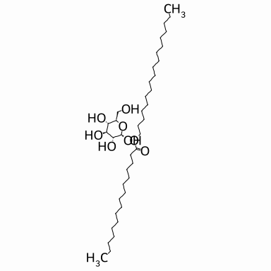 CCCCCCCCCCCCCCCCCCOC(=O)CCCCCCCCCCCCCCC.OC[C@H]1O[C@@H](O)[C@H](O)[C@@H](O)[C@@H]1O